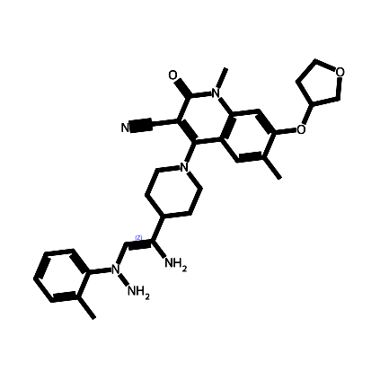 Cc1cc2c(N3CCC(/C(N)=C/N(N)c4ccccc4C)CC3)c(C#N)c(=O)n(C)c2cc1OC1CCOC1